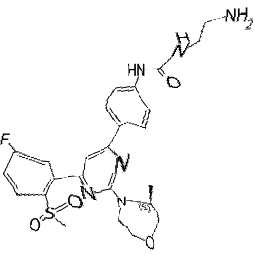 C[C@H]1COCCN1c1nc(-c2ccc(NC(=O)NCCN)cc2)cc(-c2cc(F)ccc2S(C)(=O)=O)n1